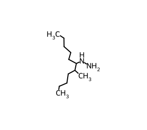 CCCCCC(NN)C(C)CCCC